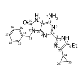 CCc1[nH]c(-c2nc(N)c3[nH]c(=O)n(Cc4ccccc4)c3n2)nc1C1CC1